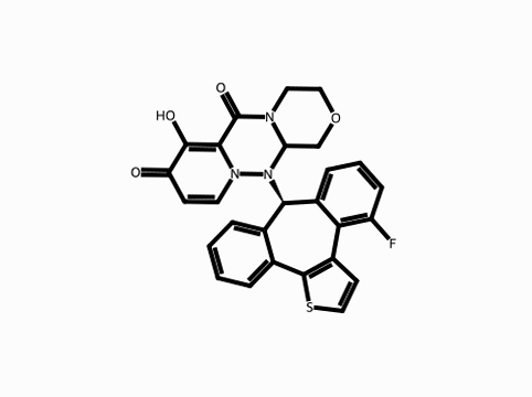 O=C1c2c(O)c(=O)ccn2N([C@@H]2c3ccccc3-c3sccc3-c3c(F)cccc32)C2COCCN12